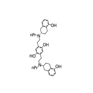 CCCN(CCc1cc(O)c(CCN(CCC)[C@H]2CCc3c(O)cccc3C2)cc1O)C1CCc2c(O)cccc2C1